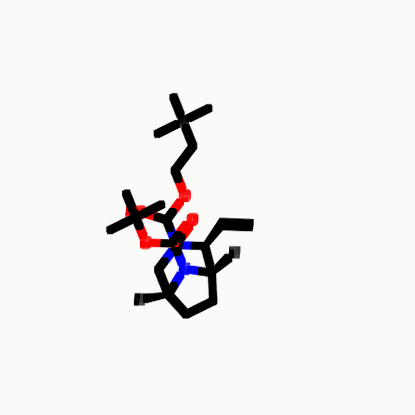 C=C[C@H]1[C@@H]2CC[C@H](CN1C(O)OCC[Si](C)(C)C)N2C(=O)OC(C)(C)C